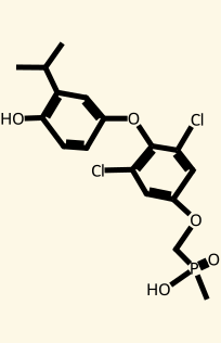 CC(C)c1cc(Oc2c(Cl)cc(OCP(C)(=O)O)cc2Cl)ccc1O